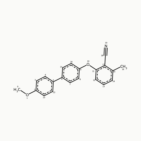 COc1ccc(-c2ccc(Oc3cccc(C)c3C#N)cc2)cc1